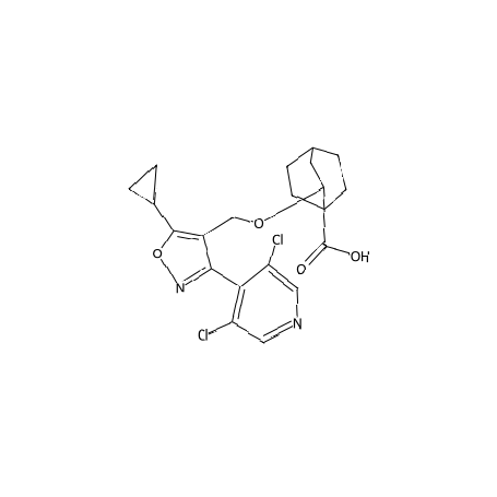 O=C(O)C12CCC(CC1)CC2OCc1c(-c2c(Cl)cncc2Cl)noc1C1CC1